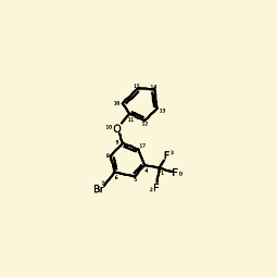 FC(F)(F)c1cc(Br)cc(Oc2ccccc2)c1